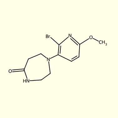 COc1ccc(N2CCNC(=O)CC2)c(Br)n1